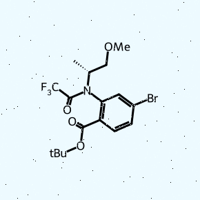 COC[C@@H](C)N(C(=O)C(F)(F)F)c1cc(Br)ccc1C(=O)OC(C)(C)C